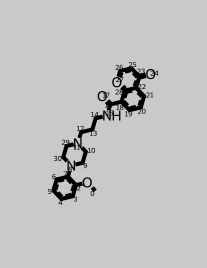 COc1ccccc1N1CCN(CCCNC(=O)c2cccc3c(=O)ccoc23)CC1